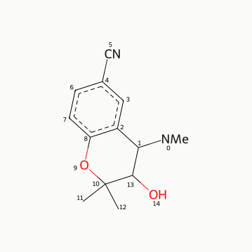 CNC1c2cc(C#N)ccc2OC(C)(C)C1O